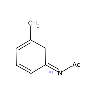 CC(=O)/N=C1/C=CC=C(C)C1